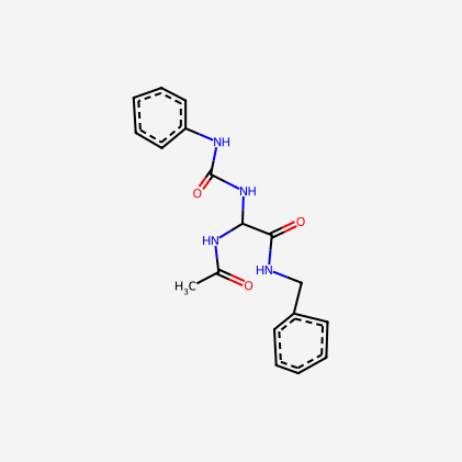 CC(=O)NC(NC(=O)Nc1ccccc1)C(=O)NCc1ccccc1